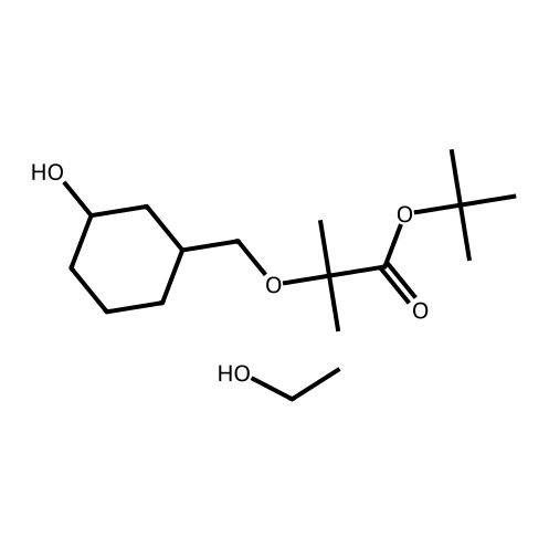 CC(C)(C)OC(=O)C(C)(C)OCC1CCCC(O)C1.CCO